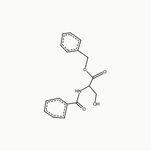 O=C(NC(CO)C(=O)OCc1ccccc1)c1ccccc1